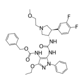 CCOc1nn(-c2ccccc2)c(NC(=O)N[C@@H]2CN(CCOC)C[C@H]2c2ccc(F)c(F)c2)c1NC(=O)OCc1ccccc1